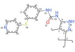 Cc1c(C(C)(C)C)n[nH]c1NC(=O)Nc1cccc(Sc2ccncc2)c1